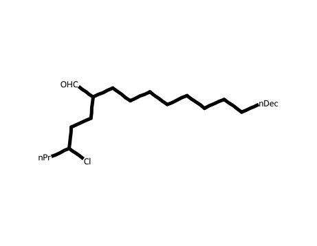 CCCCCCCCCCCCCCCCCCC(C=O)CCC(Cl)CCC